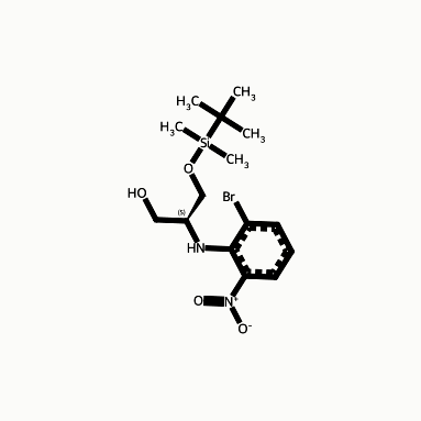 CC(C)(C)[Si](C)(C)OC[C@H](CO)Nc1c(Br)cccc1[N+](=O)[O-]